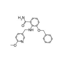 COc1ccc(CNc2c(OCc3ccccc3)cccc2C(N)=O)cn1